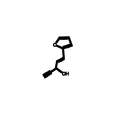 C#CC(O)C=Cc1ccco1